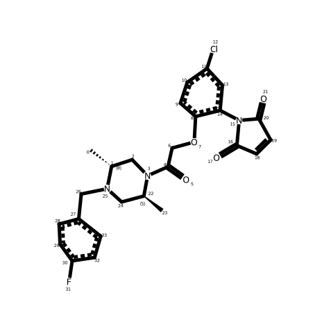 C[C@@H]1CN(C(=O)COc2ccc(Cl)cc2N2C(=O)C=CC2=O)[C@@H](C)CN1Cc1ccc(F)cc1